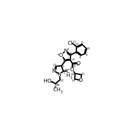 CC1C(c2onc(-c3ccccc3Cl)c2C(=O)OC2COC2)C=NN1C[C@H](C)O